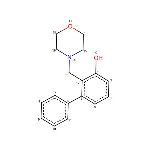 Oc1cccc(-c2ccccc2)c1CN1CCOCC1